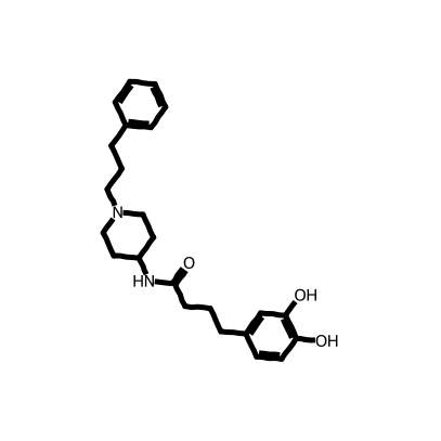 O=C(CCCc1ccc(O)c(O)c1)NC1CCN(CCCc2ccccc2)CC1